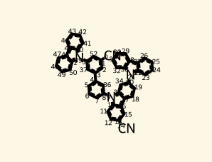 N#Cc1cc(-c2cccc(-n3c4ccc(C#N)cc4c4ccc(-n5c6ccccc6c6ccccc65)cc43)c2)cc(-n2c3ccccc3c3ccccc32)c1